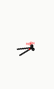 CCCCCCCCCCCCCCCC1(CCCCCCCCCCCCCCC)c2ccccc2-c2ccc(B(O)O)cc21